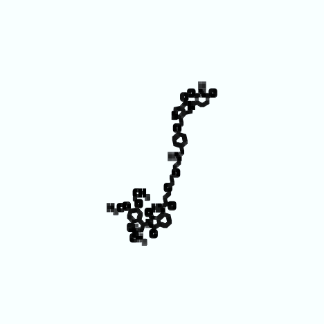 CCOc1cc(C(C[S+](C)[O-])N2C(=O)c3cccc(NC(=O)CCOCCOCCNCc4ccc(OCc5scc6c5CN(C5CCC(=O)NC5=O)C6=O)cc4)c3C2=O)ccc1OC